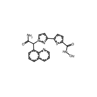 NC(=O)C(c1cccc2cccnc12)n1ccc(-c2ccc(C(=O)NO)s2)n1